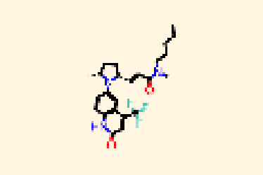 CCCCCN(C)C(=O)/C=C/[C@H]1CC[C@@H](C)N1c1ccc2[nH]c(=O)cc(C(F)(F)F)c2c1